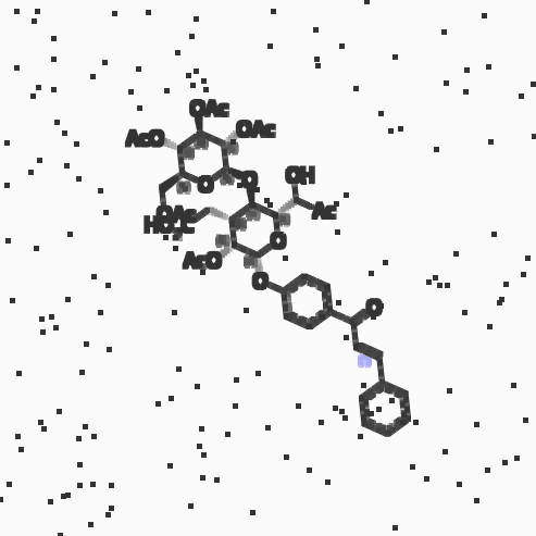 CC(=O)OC[C@@H]1O[C@H](O[C@@H]2[C@@H](CC(=O)O)[C@@H](OC(C)=O)[C@@H](Oc3ccc(C(=O)/C=C/c4ccccc4)cc3)O[C@H]2C(O)C(C)=O)[C@@H](OC(C)=O)[C@H](OC(C)=O)[C@H]1OC(C)=O